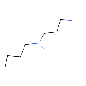 CCCCN(P)CCCN